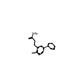 C=C(CCc1cc(-c2ccccc2)ccc1C)NC